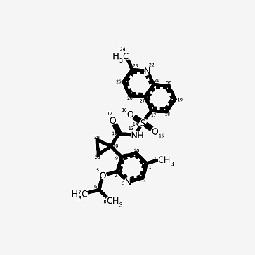 Cc1cnc(OC(C)C)c(C2(C(=O)NS(=O)(=O)c3cccc4nc(C)ccc34)CC2)c1